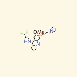 COc1cc2c(NCCC(F)F)c3c(nc2cc1OCCCN1CCCC1)CCC3